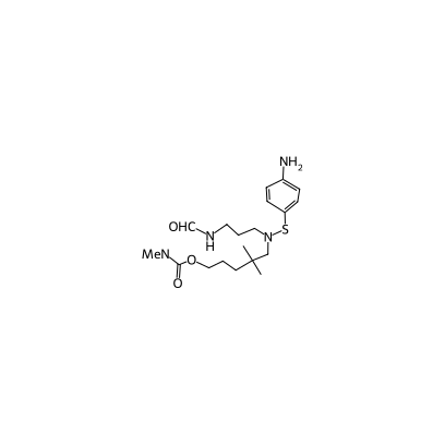 CNC(=O)OCCCC(C)(C)CN(CCCNC=O)Sc1ccc(N)cc1